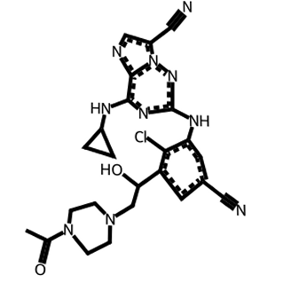 CC(=O)N1CCN(CC(O)c2cc(C#N)cc(Nc3nc(NC4CC4)c4ncc(C#N)n4n3)c2Cl)CC1